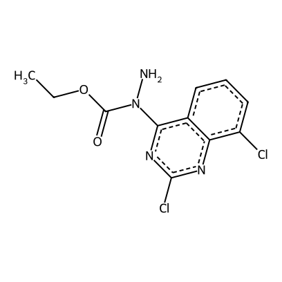 CCOC(=O)N(N)c1nc(Cl)nc2c(Cl)cccc12